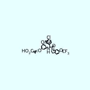 COc1cc(NC(C(=O)N2CCc3ccc(OC(F)(F)F)cc32)c2ccc(Cl)cc2)cc(OC[C@@H]2C[C@H]2C(=O)O)c1